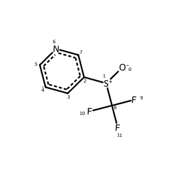 [O-][S+](c1c[c]cnc1)C(F)(F)F